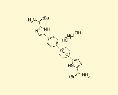 CC(C)(C)[C@H](N)c1ncc(-c2ccc(C34CCC(c5cnc([C@@H](N)C(C)(C)C)[nH]5)(CC3)CC4)cc2)[nH]1.Cl.Cl.Cl.Cl